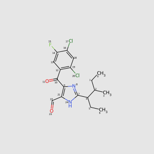 CCC(C)C(CC)c1nc(C(=O)c2cc(F)c(Cl)cc2Cl)c(C=O)[nH]1